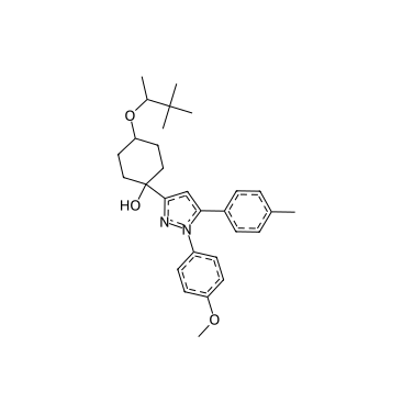 COc1ccc(-n2nc(C3(O)CCC(OC(C)C(C)(C)C)CC3)cc2-c2ccc(C)cc2)cc1